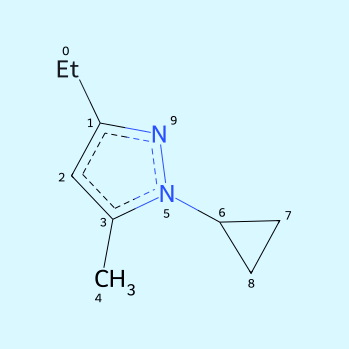 CCc1cc(C)n(C2CC2)n1